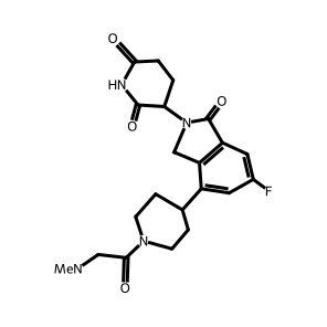 CNCC(=O)N1CCC(c2cc(F)cc3c2CN(C2CCC(=O)NC2=O)C3=O)CC1